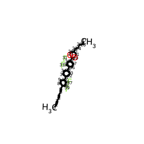 CC#CC#CC#Cc1ccc(-c2ccc(-c3ccc(C4OCC(CCCCC)CO4)c(F)c3F)cc2)c(F)c1F